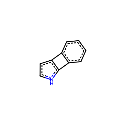 c1ccc2c(c1)-c1cc[nH]c1-2